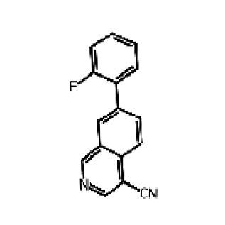 N#Cc1cncc2cc(-c3ccccc3F)ccc12